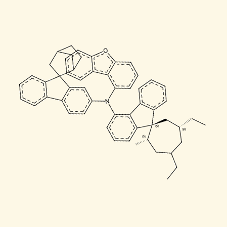 CCC1C[C@@H](CC)C[C@@]2(c3ccccc3-c3c(N(c4ccc5c(c4)C4(CC6CCC4C6)c4ccccc4-5)c4cccc5oc6ccccc6c45)cccc32)[C@@H](C)C1